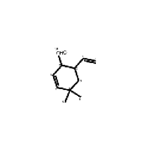 C=CC1CC(C)(C)C=CC1C=O